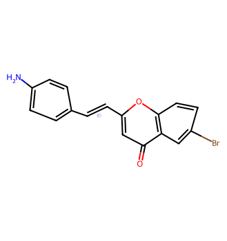 Nc1ccc(/C=C/c2cc(=O)c3cc(Br)ccc3o2)cc1